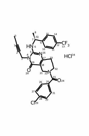 CC#CCn1c(N[C@@H](C)c2ccc(C(F)(F)F)cc2)nc2c(c1=O)CN(C(=O)c1ccc(Cl)cc1)CC2.Cl